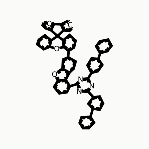 c1ccc(-c2ccc(-c3nc(-c4cccc(-c5ccccc5)c4)nc(-c4cccc5oc6cc(-c7cccc8c7Oc7ccccc7C87c8ccccc8-c8ccccc87)ccc6c45)n3)cc2)cc1